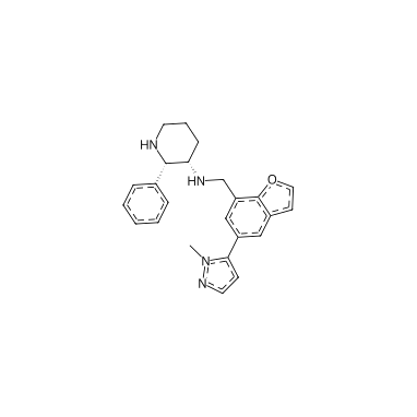 Cn1nccc1-c1cc(CN[C@H]2CCCN[C@H]2c2ccccc2)c2occc2c1